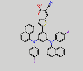 N#C/C(=C/c1ccc(-c2cc(N(c3ccc(I)cc3)c3cccc4ccccc34)cc(N(c3ccc(I)cc3)c3cccc4ccccc34)c2)s1)C(=O)O